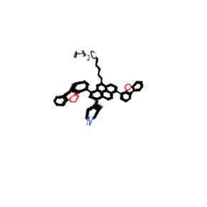 CCCCCCc1cc2c(-c3cccc4c3oc3ccccc34)cc(-c3ccncc3)c3ccc4c(-c5cccc6c5oc5ccccc56)ccc1c4c32